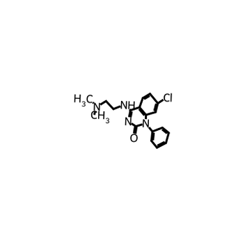 CN(C)CCNc1nc(=O)n(-c2ccccc2)c2cc(Cl)ccc12